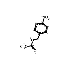 O=C(OCc1ccc([N+](=O)[O-])cc1)C(Cl)(Cl)Cl